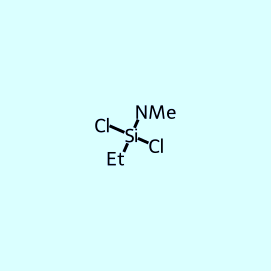 CC[Si](Cl)(Cl)NC